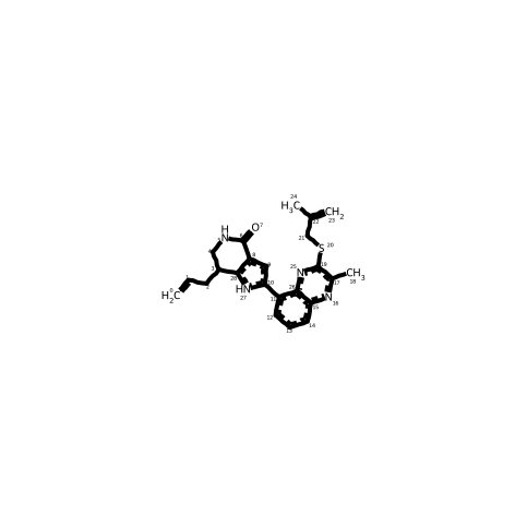 C=CCC1CNC(=O)c2cc(-c3cccc4nc(C)c(SCC(=C)C)nc34)[nH]c21